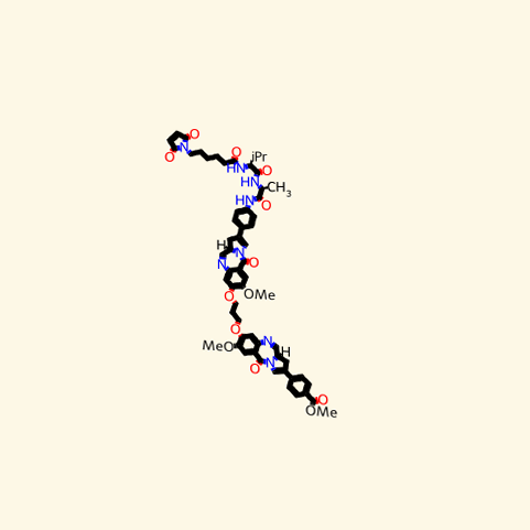 COC(=O)c1ccc(C2=CN3C(=O)c4cc(OC)c(OCCCOc5cc6c(cc5OC)C(=O)N5C=C(c7ccc(NC(=O)[C@H](C)NC(=O)[C@@H](NC(=O)CCCCCN8C(=O)C=CC8=O)C(C)C)cc7)C[C@H]5C=N6)cc4N=C[C@@H]3C2)cc1